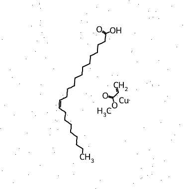 C=CC(=O)OC.CCCCCCCC/C=C\CCCCCCCCCCCC(=O)O.[Cu]